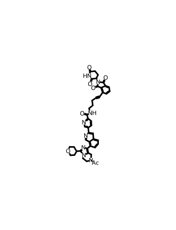 CC(=O)N1CCn2c(C3CCOCC3)nc(-c3cccc4cc(-c5ccc(C(=O)NCCCC#Cc6cccc7c6C(=O)N(C6CCC(=O)NC6=O)C7=O)nc5)ncc34)c2C1